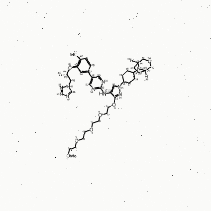 COCCOCCOCCOCCOc1nn(C2CCC(N3[C@@H]4CC[C@H]3COC4)CC2)cc1Nc1ncc(-c2ccc(C#N)c(O[C@@H](C)Cn3cnnn3)c2)cn1